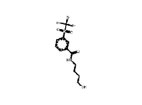 O=C(NCCCCO)c1cccc(S(=O)(=O)C(Br)(Br)Br)c1